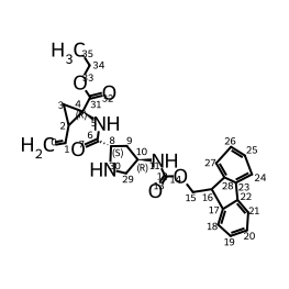 C=CC1C[C@]1(NC(=O)[C@@H]1C[C@@H](NC(=O)OCC2c3ccccc3-c3ccccc32)CN1)C(=O)OCC